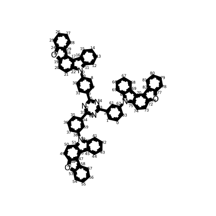 c1cc(-c2nc(-c3ccc(-n4c5ccccc5c5c6c(ccc54)oc4ccccc46)cc3)nc(-c3cccc(-n4c5ccccc5c5c6c(ccc54)oc4ccccc46)c3)n2)cc(-n2c3ccccc3c3c4c(ccc32)oc2ccccc24)c1